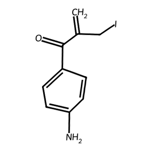 C=C(CI)C(=O)c1ccc(N)cc1